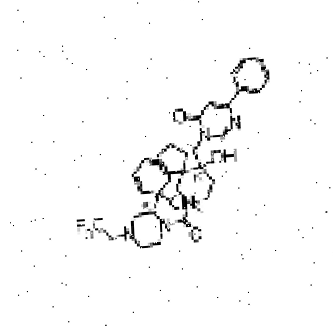 CC1([C@@H]2CN(CC(F)(F)F)CCN2C(=O)N2CC[C@@](O)(Cn3cnc(-c4ccccc4)cc3=O)C3(CCCC3)C2)C=CC=CC1